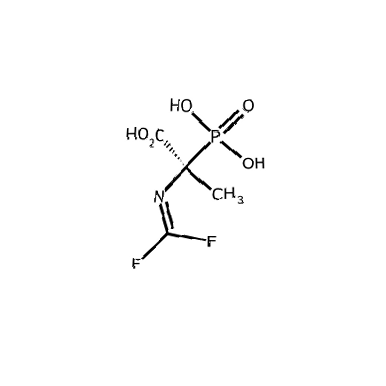 C[C@](N=C(F)F)(C(=O)O)P(=O)(O)O